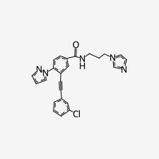 O=C(NCCCn1ccnc1)c1ccc(-n2cccn2)c(C#Cc2cccc(Cl)c2)c1